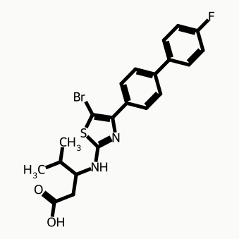 CC(C)C(CC(=O)O)Nc1nc(-c2ccc(-c3ccc(F)cc3)cc2)c(Br)s1